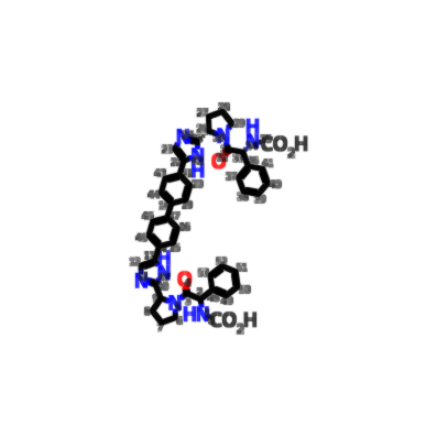 O=C(O)NC(C(=O)N1CCCC1c1ncc(-c2ccc(-c3ccc(-c4cnc([C@@H]5CCCN5C(=O)[C@H](NC(=O)O)c5ccccc5)[nH]4)cc3)cc2)[nH]1)c1ccccc1